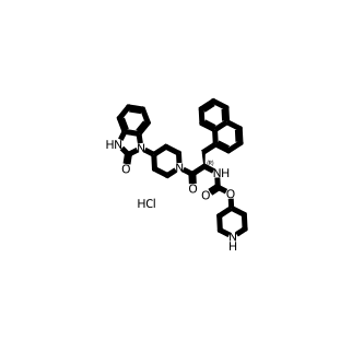 Cl.O=C(N[C@H](Cc1cccc2ccccc12)C(=O)N1CCC(n2c(=O)[nH]c3ccccc32)CC1)OC1CCNCC1